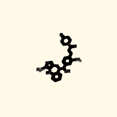 Cc1cc(C(O)N2Cc3cnn(C)c3Nc3ccccc32)ccc1CCC(=O)N1CCC(=O)CC1